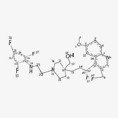 COc1ccc2ncc(CF)c([C@H](F)CCC3(CO)CCN(CCNc4c(F)cc(F)cc4F)CC3)c2c1